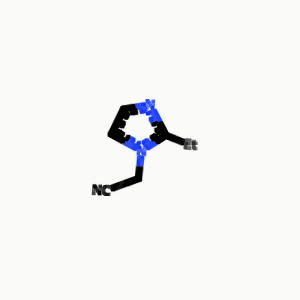 CCc1nccn1CC#N